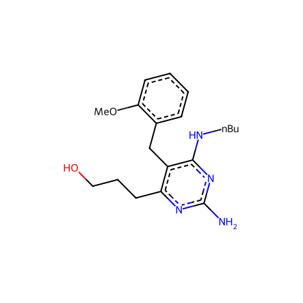 CCCCNc1nc(N)nc(CCCO)c1Cc1ccccc1OC